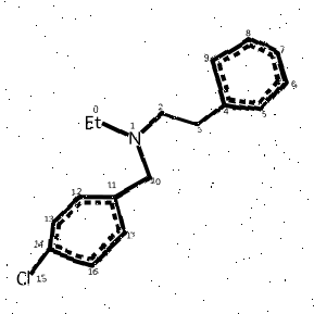 CCN(CCc1ccccc1)Cc1ccc(Cl)cc1